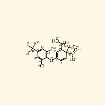 CC(Cl)C1([N+](=O)[O-])C=CC(Oc2c(F)cc(C(F)(F)F)cc2Cl)=CC1C(=O)O